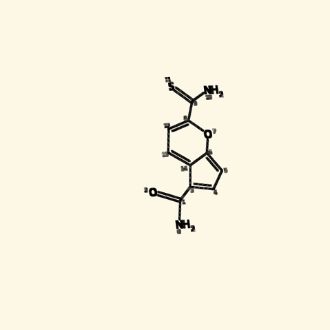 NC(=O)c1ccc2oc(C(N)=S)ccc1-2